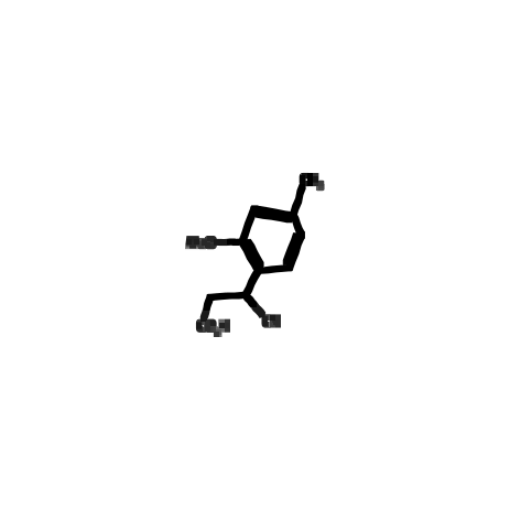 COc1cc(C)ccc1C(C#N)CC(=O)O